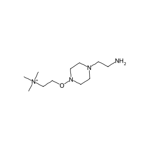 C[N+](C)(C)CCON1CCN(CCN)CC1